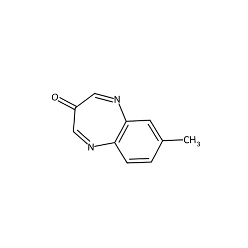 Cc1ccc2ncc(=O)cnc2c1